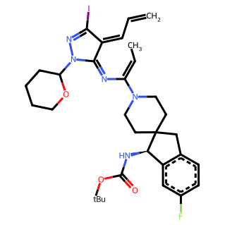 C=C\C=C1/C(I)=NN(C2CCCCO2)/C1=N/C(=C\C)N1CCC2(CC1)Cc1ccc(F)cc1[C@H]2NC(=O)OC(C)(C)C